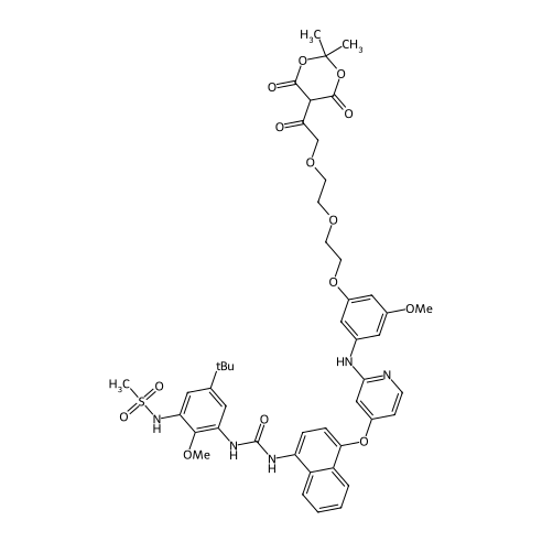 COc1cc(Nc2cc(Oc3ccc(NC(=O)Nc4cc(C(C)(C)C)cc(NS(C)(=O)=O)c4OC)c4ccccc34)ccn2)cc(OCCOCCOCC(=O)C2C(=O)OC(C)(C)OC2=O)c1